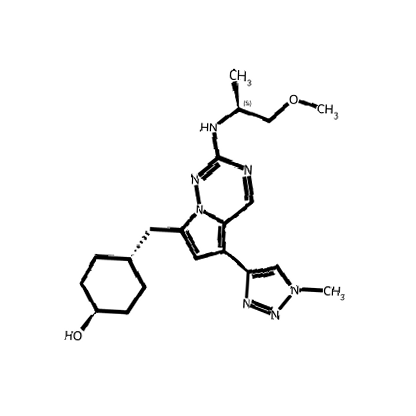 COC[C@H](C)Nc1ncc2c(-c3cn(C)nn3)cc(C[C@H]3CC[C@H](O)CC3)n2n1